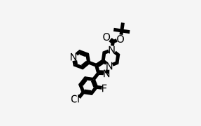 CC(C)(C)OC(=O)N1CCn2nc(-c3ccc(Cl)cc3F)c(-c3ccncc3)c2C1